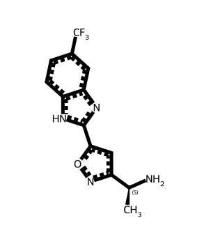 C[C@H](N)c1cc(-c2nc3cc(C(F)(F)F)ccc3[nH]2)on1